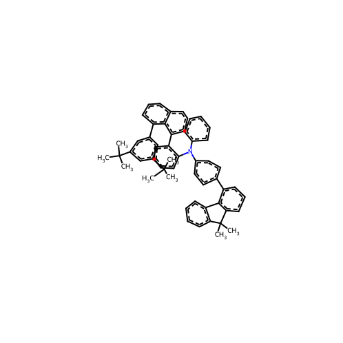 CC(C)(C)c1cc(-c2cccc3cccc(-c4ccccc4N(c4ccccc4)c4ccc(-c5cccc6c5-c5ccccc5C6(C)C)cc4)c23)cc(C(C)(C)C)c1